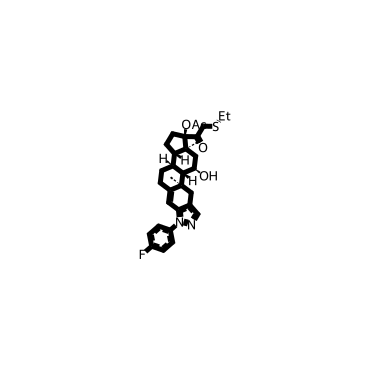 CCSCC(=O)[C@@]1(OC(C)=O)CC[C@H]2[C@@H]3CCC4=Cc5c(cnn5-c5ccc(F)cc5)C[C@]4(C)[C@H]3[C@@H](O)C[C@@]21C